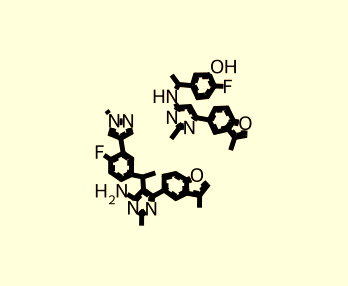 Cc1nc(N)c(C(C)c2ccc(F)c(-c3cnn(C)c3)c2)c(-c2ccc3occ(C)c3c2)n1.Cc1nc(NC(C)c2ccc(F)c(O)c2)cc(-c2ccc3occ(C)c3c2)n1